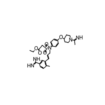 CCOC(=O)CS(=O)(=O)N(C/C=C/c1cc(C(=N)N)ccc1C)c1ccc(OC2CCN(C(C)=N)CC2)cc1